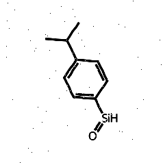 CC(C)c1ccc([SiH]=O)cc1